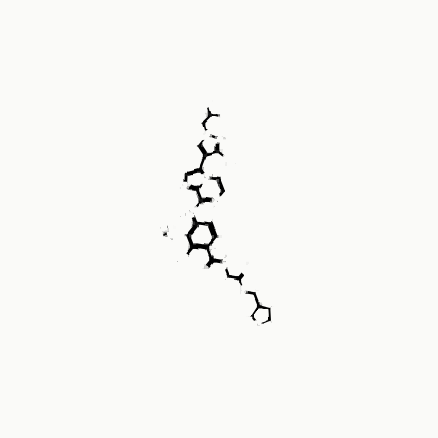 CCc1cc(Nc2nccn3c(-c4cn(CC(F)F)nc4C(F)(F)F)cnc23)ccc1C(=O)NCC(=O)NCC1CCNC1.O=CO